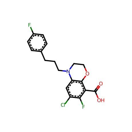 O=C(O)c1c(F)c(Cl)cc2c1OCCN2CCCc1ccc(F)cc1